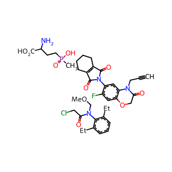 C#CCN1C(=O)COc2cc(F)c(N3C(=O)C4=C(CCCC4)C3=O)cc21.CCc1cccc(CC)c1N(COC)C(=O)CCl.CP(=O)(O)CCC(N)C(=O)O